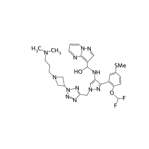 CSc1ccc(OC(F)F)c(-c2nn(Cc3nnn(C4CN(CCCN(C)C)C4)n3)cc2NC(O)c2cnn3cccnc23)c1